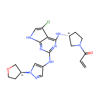 C=CC(=O)N1CC[C@@H](Nc2nc(Nc3cnn([C@H]4CCOC4)c3)nc3[nH]cc(Cl)c23)C1